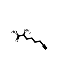 C#CCCCCC(N)C(=O)O